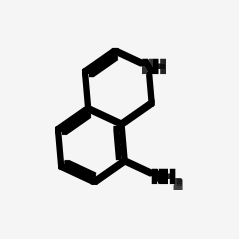 Nc1cccc2c1CNC=C2